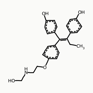 CCC(=C(c1ccc(O)cc1)c1ccc(OCCNCO)cc1)c1ccc(O)cc1